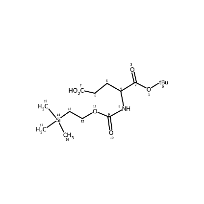 CC(C)(C)OC(=O)C(CCC(=O)O)NC(=O)OCC[Si](C)(C)C